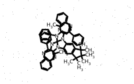 Cc1ccccc1N1c2ccccc2N(c2ccccc2C)C12N(c1nc3ccccc3nc1-c1ccccc1)c1cc3c(cc1N2c1nc2ccccc2nc1-c1ccccc1)C(C)(C)C(C)(C)C3(C)C